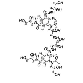 CC(=O)N(CC(O)CO)c1c(I)c(C(=O)NCC(O)CO)c(I)c(C(=O)NCC(O)CO)c1I.CC(=O)N(CC(O)CO)c1c(I)c(C(=O)NCC(O)CO)c(I)c(C(=O)NCC(O)CO)c1I